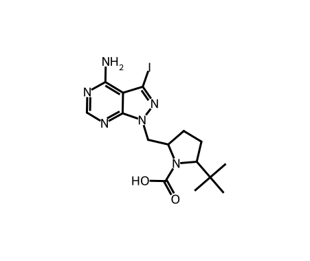 CC(C)(C)C1CCC(Cn2nc(I)c3c(N)ncnc32)N1C(=O)O